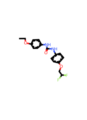 CCOc1ccc(NC(=O)Nc2ccc(OCC(F)F)cc2)cc1